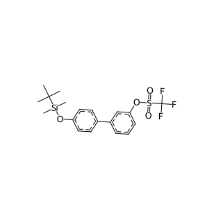 CC(C)(C)[Si](C)(C)Oc1ccc(-c2cccc(OS(=O)(=O)C(F)(F)F)c2)cc1